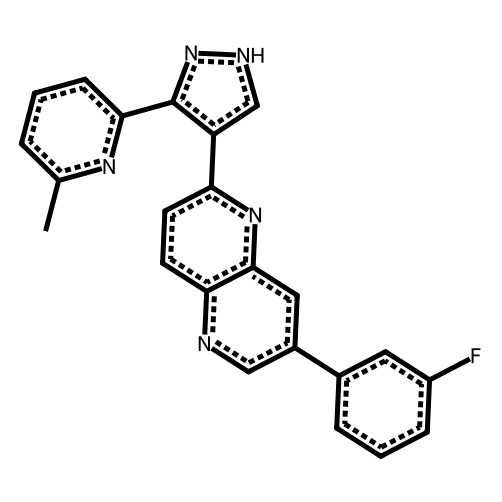 Cc1cccc(-c2n[nH]cc2-c2ccc3ncc(-c4cccc(F)c4)cc3n2)n1